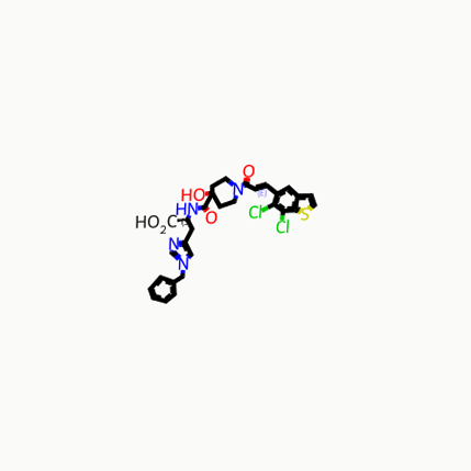 O=C(O)[C@H](Cc1cn(Cc2ccccc2)cn1)NC(=O)C1(O)CCN(C(=O)/C=C/c2cc3ccsc3c(Cl)c2Cl)CC1